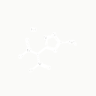 Nc1nnc(C([N+](=O)[O-])[N+](=O)[O-])o1.[KH]